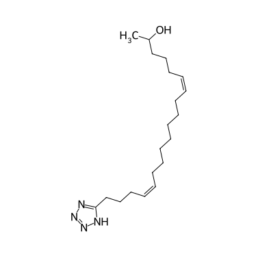 CC(O)CCC/C=C\CCCCCCC/C=C\CCCc1nnn[nH]1